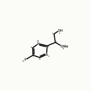 COC(CO)c1ncc(F)cn1